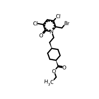 CCOC(=O)[C@H]1CC[C@@H](CCn2c(CBr)c(Cl)cc(Cl)c2=O)CC1